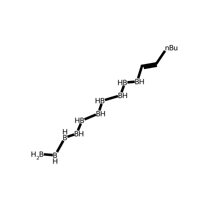 BBBBBBBBBBC=CCCCC